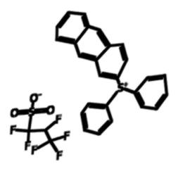 O=S(=O)([O-])C(F)(F)C(F)C(F)(F)F.c1ccc([S+](c2ccccc2)c2ccc3cc4ccccc4cc3c2)cc1